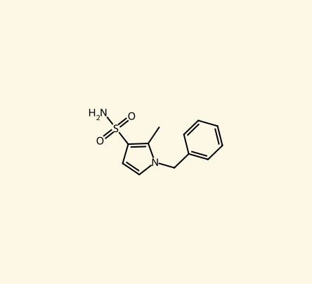 Cc1c(S(N)(=O)=O)ccn1Cc1ccccc1